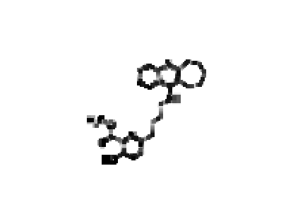 COC(=O)c1nc(CCCCNc2c3c(nc4ccccc24)CCCCC3)ccc1O